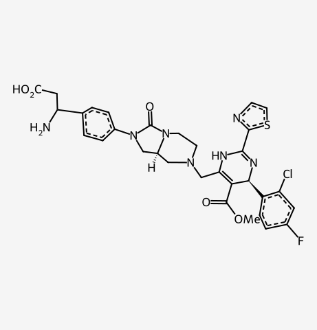 COC(=O)C1=C(CN2CCN3C(=O)N(c4ccc(C(N)CC(=O)O)cc4)C[C@@H]3C2)NC(c2nccs2)=N[C@H]1c1ccc(F)cc1Cl